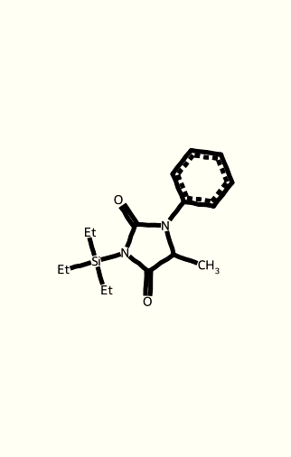 CC[Si](CC)(CC)N1C(=O)C(C)N(c2ccccc2)C1=O